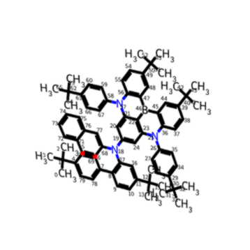 CC(C)(C)c1ccc(-c2ccc(C(C)(C)C)cc2N(c2cc3c4c(c2)N(c2ccc(C(C)(C)C)cc2)c2ccc(C(C)(C)C)cc2B4c2cc(C(C)(C)C)ccc2N3c2ccc(C(C)(C)C)cc2)c2ccc3ccccc3c2)cc1